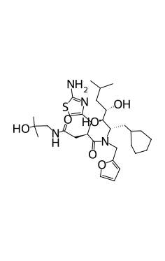 CC(C)C[C@H](O)[C@H](O)[C@H](CC1CCCCC1)N(Cc1ccco1)C(=O)[C@@H](CC(=O)NCC(C)(C)O)Cc1csc(N)n1